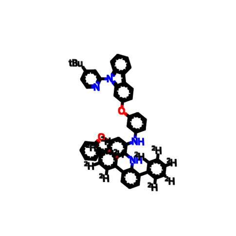 [2H]c1c([2H])c([2H])c(-c2cccc(-c3c([2H])c([2H])c([2H])c([2H])c3[2H])c2Nc2cc3c(cc2Nc2cccc(Oc4ccc5c6ccccc6n(-c6cc(C(C)(C)C)ccn6)c5c4)c2)oc2ccccc23)c([2H])c1[2H]